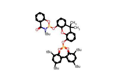 CC(C)(C)c1cc(C(C)(C)C)c2op(Oc3cccc4c3Oc3c(OP5Oc6ccccc6C(=O)N5C(C)(C)C)cccc3C4(C)C)oc3c(C(C)(C)C)cc(C(C)(C)C)cc3c2c1